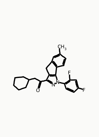 Cc1ccc2c(c1)Cc1c(C(=O)CC3CCCCC3)nn(-c3ccc(F)cc3F)c1-2